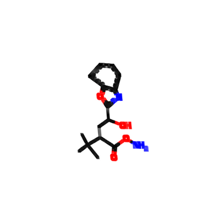 CC(C)(C)C(CC(O)c1nc2ccccc2o1)C(=O)ON